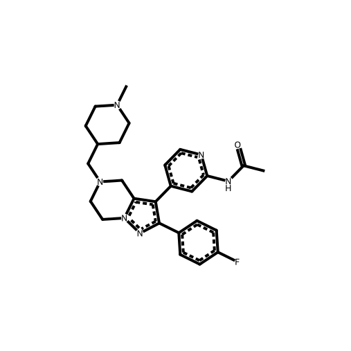 CC(=O)Nc1cc(-c2c(-c3ccc(F)cc3)nn3c2CN(CC2CCN(C)CC2)CC3)ccn1